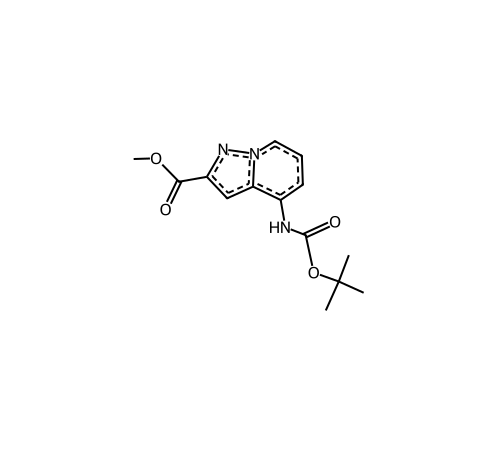 COC(=O)c1cc2c(NC(=O)OC(C)(C)C)cccn2n1